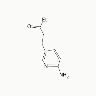 CCC(=O)CCc1ccc(N)nc1